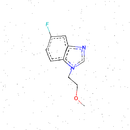 COCCn1cnc2cc(F)ccc21